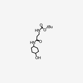 CC(C)(C)OC(=O)NCCC(=O)NC1CCC(O)CC1